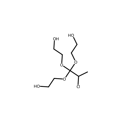 CC(Cl)C(OCCO)(OCCO)OCCO